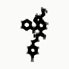 CCn1ncc2c(NC3CCCCC3)c(C(=O)NCCc3ccc(F)cc3)cnc21